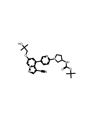 CC(C)(O)COc1cc(-c2ccc(N3CCC(NC(=O)OC(C)(C)C)C3)nc2)c2c(C#N)cnn2c1